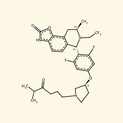 C[C@@H]1Cc2c(ccc3[nH]c(=O)oc23)[C@@H](c2c(F)cc(O[C@H]3CCN(CCCC(=O)N(C)C)C3)cc2F)N1CC(F)(F)F